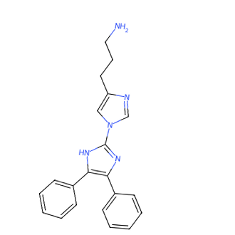 NCCCc1cn(-c2nc(-c3ccccc3)c(-c3ccccc3)[nH]2)cn1